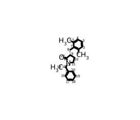 Cc1cccc(C)c1C[C@@H]1CCN([C@@H](C)c2ccccc2)C1=O